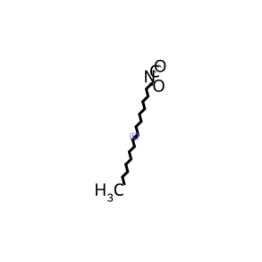 CCCCCCCC/C=C/CCCCCCCC(=O)N=C=O